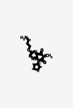 Cn1c(=O)c2nc(OCCCN)nnc2n(C2CCCC2)c1=O